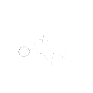 CC(C)(C)O[Si](C)(C)CCC[Si](C)(OC(C)(C)C)c1ccccc1